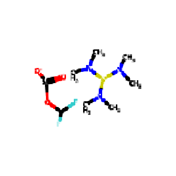 CN(C)[S+](N(C)C)N(C)C.O=[Si]([O-])OC(F)F